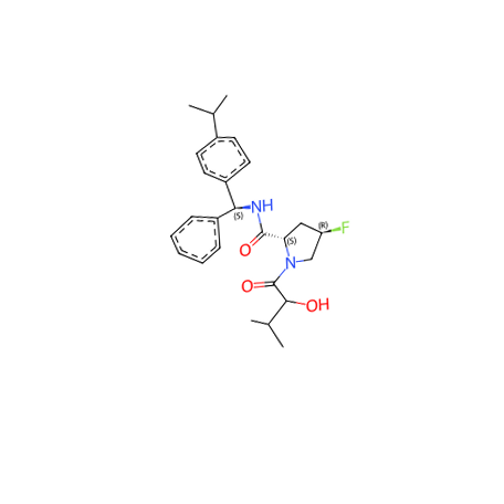 CC(C)c1ccc([C@@H](NC(=O)[C@@H]2C[C@@H](F)CN2C(=O)C(O)C(C)C)c2ccccc2)cc1